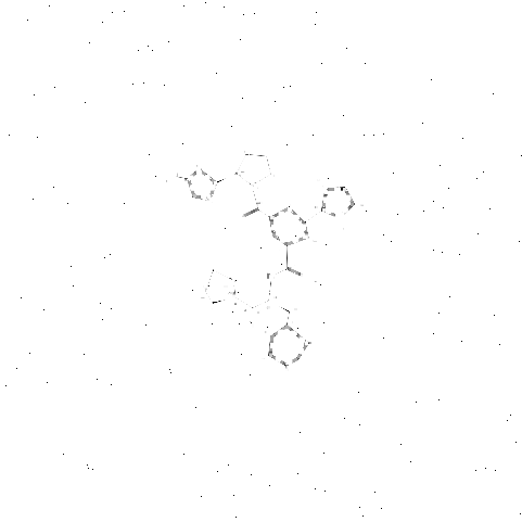 Cc1csc([C@H]2CCCN2C(=O)c2cc(C(=O)N[C@@H](Cc3ccccc3)[C@H](O)[C@H]3C[C@H](F)CN3)cc(-c3ncco3)c2)n1